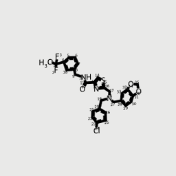 CC(F)(F)c1cccc(CNC(=O)c2csc(CN(Cc3ccc(Cl)cc3)Cc3ccc4c(c3)OCO4)n2)c1